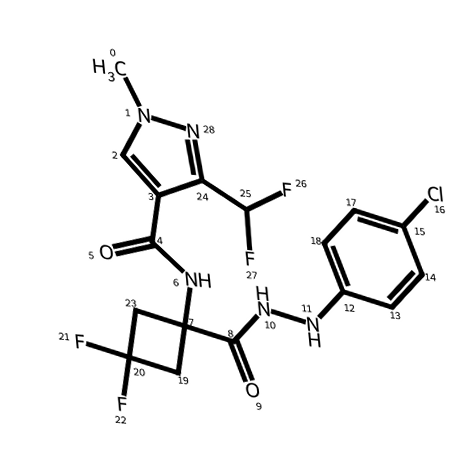 Cn1cc(C(=O)NC2(C(=O)NNc3ccc(Cl)cc3)CC(F)(F)C2)c(C(F)F)n1